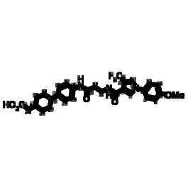 COc1ccc(-n2cc(C(=O)NCCC(=O)Nc3ccc(C4CCC(CC(=O)O)CC4)cc3)c(C(F)(F)F)n2)cc1